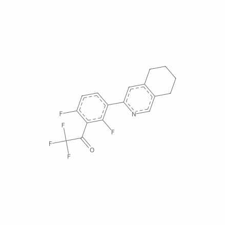 O=C(c1c(F)ccc(-c2cc3c(cn2)CCCC3)c1F)C(F)(F)F